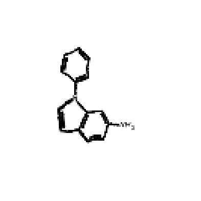 Nc1ccc2ccn(-c3ccccc3)c2c1